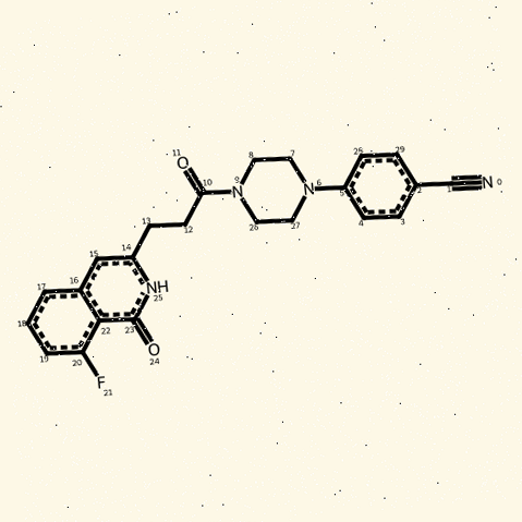 N#Cc1ccc(N2CCN(C(=O)CCc3cc4cccc(F)c4c(=O)[nH]3)CC2)cc1